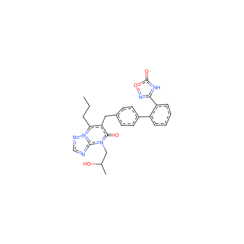 CCCc1c(Cc2ccc(-c3ccccc3-c3noc(=O)[nH]3)cc2)c(=O)n(CC(C)O)c2ncnn12